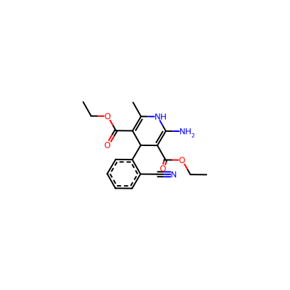 CCOC(=O)C1=C(C)NC(N)=C(C(=O)OCC)C1c1ccccc1C#N